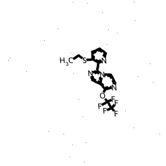 CCSc1cccnc1-c1ncc2c(OC(F)(F)C(F)(F)F)nccn12